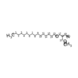 CCCCCCCCCCCCCCCCOCC(C[N])COC